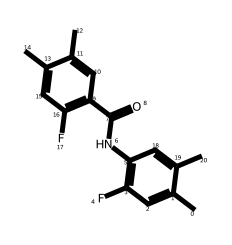 Cc1cc(F)c(NC(=O)c2cc(C)c(C)cc2F)cc1C